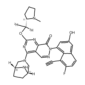 [2H]C([2H])(Oc1nc(N2C[C@H]3CC[C@@H](C2)N3)c2cnn(-c3cc(O)cc4ccc(F)c(C#C)c34)c(=O)c2n1)[C@@H]1CCCN1C